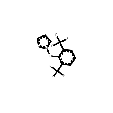 FC(F)(F)c1cccc(C(F)(F)F)c1On1c[c]cn1